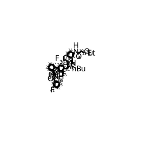 CCCCc1nn(-c2cc(NC(=O)CCOCC)ccc2C(F)(F)F)c(=O)n1Cc1ccc(-c2ccccc2S(=O)(=O)NC(=O)c2cc(F)ccc2F)cc1F